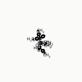 COc1ccc(-c2cn([C@@H]3O[C@@H](COC(c4ccccc4)(c4ccc(OC)cc4)c4ccc(OC)cc4)[CH][C@H]3O[Si](C)(C)C(C)(C)C)c(=O)[nH]c2=O)cc1